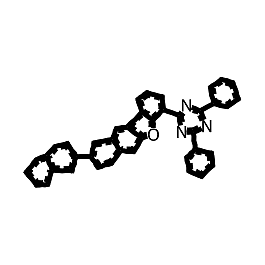 c1ccc(-c2nc(-c3ccccc3)nc(-c3cccc4c3oc3cc5ccc(-c6ccc7ccccc7c6)cc5cc34)n2)cc1